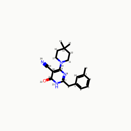 Cc1cccc(Cc2nc(N3CCC(C)(C)CC3)c(C#N)c(=O)[nH]2)c1